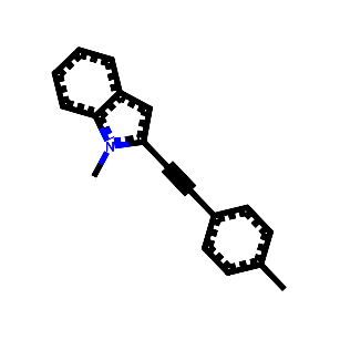 Cc1ccc(C#Cc2cc3ccccc3n2C)cc1